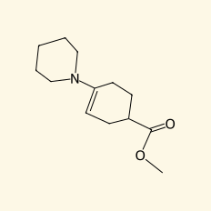 COC(=O)C1CC=C(N2CCCCC2)CC1